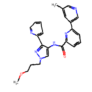 COCCCn1cc(NC(=O)c2cccc(-c3cncc(C)c3)n2)c(-c2ccccn2)n1